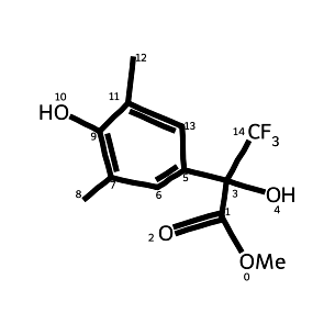 COC(=O)C(O)(c1cc(C)c(O)c(C)c1)C(F)(F)F